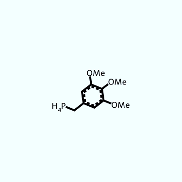 COc1cc(C[PH4])cc(OC)c1OC